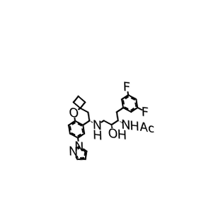 CC(=O)N[C@@H](Cc1cc(F)cc(F)c1)[C@@H](O)CN[C@H]1CC2(CCC2)Oc2ccc(-n3cccn3)cc21